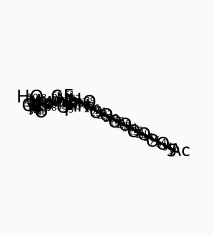 CC(=O)SCCOCCOCCOCCOCCOCCOCCOCCOCCC(=O)NCc1cc(F)c(C(=O)N[C@@H](Cc2ccc(-c3c(C)n(C)c(=O)n(C)c3=O)cc2)C(=O)O)c(F)c1